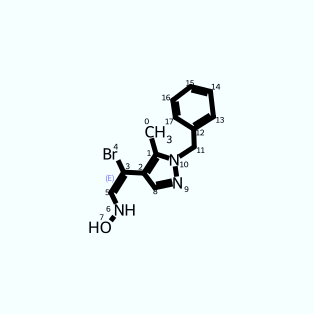 Cc1c(/C(Br)=C\NO)cnn1Cc1ccccc1